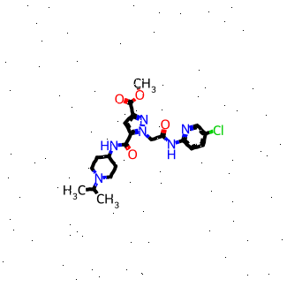 COC(=O)c1cc(C(=O)NC2CCN(C(C)C)CC2)n(CC(=O)Nc2ccc(Cl)cn2)n1